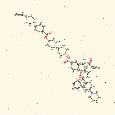 CCCCC[C@H]1CC[C@H](c2ccc(C(=O)Oc3ccc(C4CCC(OC(=O)c5ccc6c7c(c(C(=O)OC)c(C)c6c5)C=CC(c5ccccc5)(c5ccc(N6CCCCC6)cc5)O7)CC4)cc3)cc2)CC1